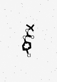 CC(C)(C)OC(=O)Oc1ccc(Cl)cc1